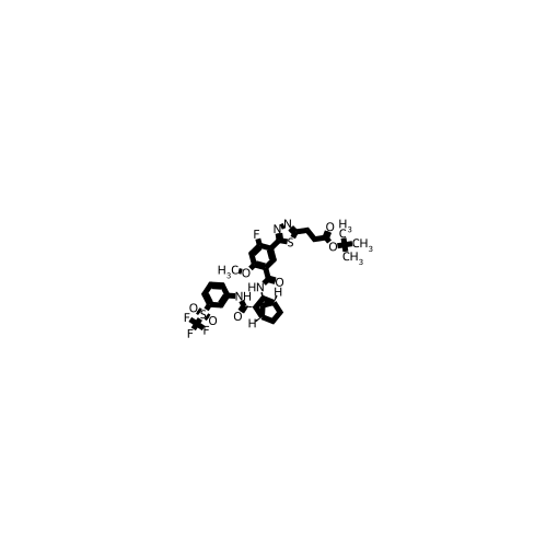 COc1cc(F)c(-c2nnc(CCC(=O)OC(C)(C)C)s2)cc1C(=O)N[C@@H]1[C@H]2CC[C@H](C2)[C@@H]1C(=O)Nc1cccc(S(=O)(=O)C(F)(F)F)c1